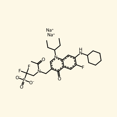 CCC(CC)n1cc(CN(CC(F)(F)P(=O)([O-])[O-])C(C)=O)c(=O)c2cc(F)c(NC3CCCCC3)cc21.[Na+].[Na+]